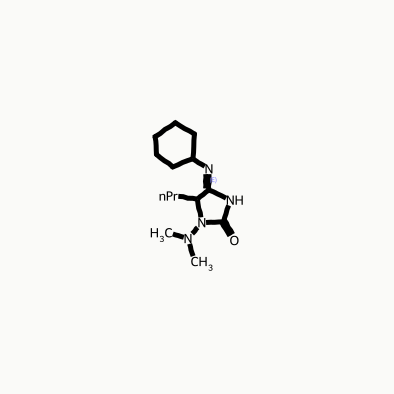 CCCC1/C(=N\C2CCCCC2)NC(=O)N1N(C)C